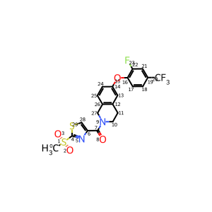 CS(=O)(=O)c1nc(C(=O)N2CCc3cc(Oc4ccc(C(F)(F)F)cc4F)ccc3C2)cs1